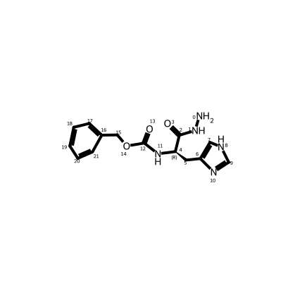 NNC(=O)[C@@H](Cc1c[nH]cn1)NC(=O)OCc1ccccc1